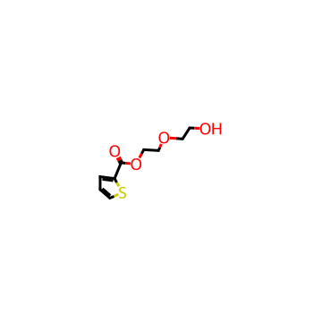 O=C(OCCOCCO)c1cccs1